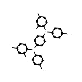 CCCCc1ccc(N(c2ccc(N(c3ccc(CCCC)cc3)c3ccc(Br)cc3C)cc2)c2ccc(Br)cc2C)cc1